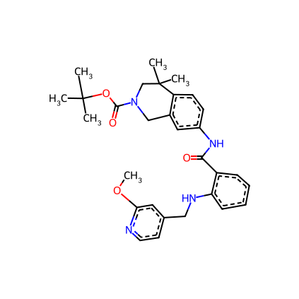 COc1cc(CNc2ccccc2C(=O)Nc2ccc3c(c2)CN(C(=O)OC(C)(C)C)CC3(C)C)ccn1